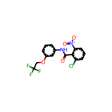 O=C(Nc1cccc(OCC(F)(F)F)c1)c1c(Cl)cccc1[N+](=O)[O-]